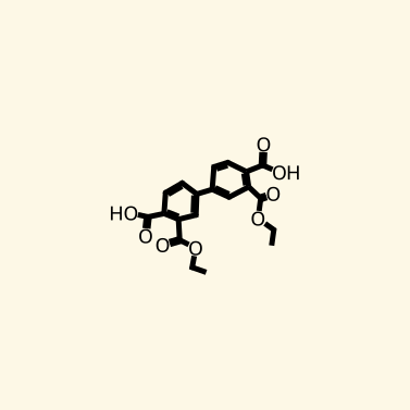 CCOC(=O)c1cc(-c2ccc(C(=O)O)c(C(=O)OCC)c2)ccc1C(=O)O